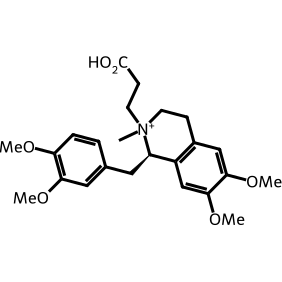 COc1ccc(C[C@@H]2c3cc(OC)c(OC)cc3CC[N+]2(C)CCC(=O)O)cc1OC